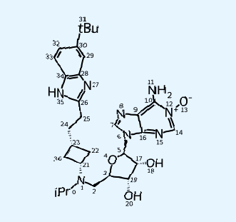 CC(C)N(C[C@H]1O[C@@H](n2cnc3c(N)[n+]([O-])cnc32)[C@H](O)[C@@H]1O)[C@H]1C[C@@H](CCc2nc3cc(C(C)(C)C)ccc3[nH]2)C1